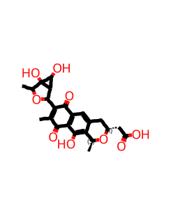 CC1=C(C2OC(C)C3(O)C(O)C23)C(=O)c2cc3c(c(O)c2C1=O)[C@H](C)O[C@@H](CC(=O)O)C3